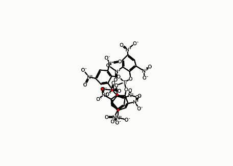 O=[N+]([O-])c1cc([N+](=O)[O-])c([O][Ti]([O]c2c([N+](=O)[O-])cc([N+](=O)[O-])cc2[N+](=O)[O-])([O]c2c([N+](=O)[O-])cc([N+](=O)[O-])cc2[N+](=O)[O-])[O]c2c([N+](=O)[O-])cc([N+](=O)[O-])cc2[N+](=O)[O-])c([N+](=O)[O-])c1